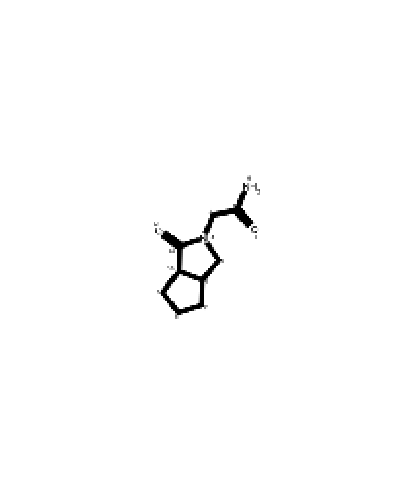 NC(=O)CN1CC2CCCC2C1=O